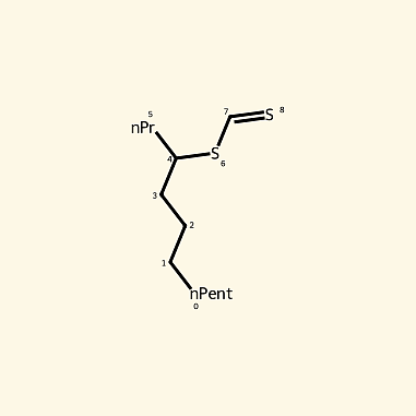 CCCCCCCCC(CCC)SC=S